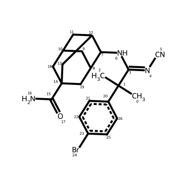 CC(C)(/C(=N/C#N)NC1C2CC3CC1CC(C(N)=O)(C3)C2)c1ccc(Br)cc1